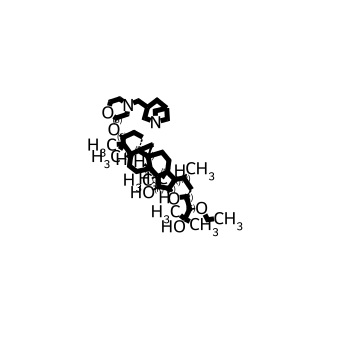 CCO[C@@H]([C@H]1C[C@@H](C)[C@H]2[C@H](O1)[C@H](O)[C@@]1(C)[C@@H]3CC[C@H]4C(C)(C)[C@@H](O[C@H]5CN(CC6CC7CN(C7)C6)CCO5)CC[C@@]45C[C@@]35CC[C@]21C)C(C)(C)O